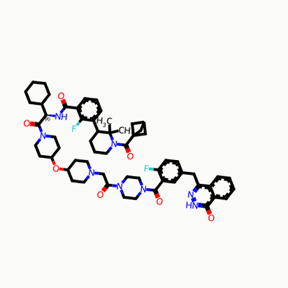 CC1(C)C(c2cccc(C(=O)N[C@@H](C(=O)N3CCC(OC4CCN(CC(=O)N5CCN(C(=O)c6cc(Cc7n[nH]c(=O)c8ccccc78)ccc6F)CC5)CC4)CC3)C3CCCCC3)c2F)CCCN1C(=O)C12CC(C1)C2